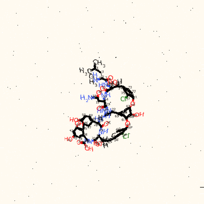 CN[C@H](CC(C)C)C(=O)N[C@H]1C(=O)NC(CC(N)=O)C(=O)N[C@H]2C(=N)N[C@H]3C(=O)N[C@H](C(=O)N[C@H](C(=O)O)c4cc(O)cc(O)c4C4CC3=CC=C4O)[C@H](O)C3C=C(Cl)C(=CC3)Oc3cc2cc(c3O)Oc2ccc(cc2Cl)[C@H]1O